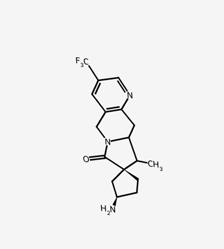 CC1C2Cc3ncc(C(F)(F)F)cc3CN2C(=O)[C@]12CC[C@@H](N)C2